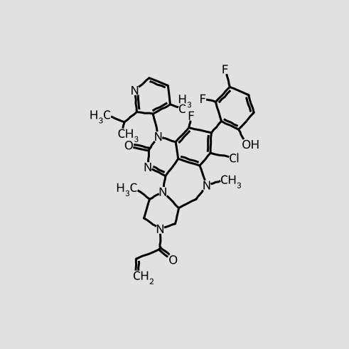 C=CC(=O)N1CC(C)N2c3nc(=O)n(-c4c(C)ccnc4C(C)C)c4c(F)c(-c5c(O)ccc(F)c5F)c(Cl)c(c34)N(C)CC2C1